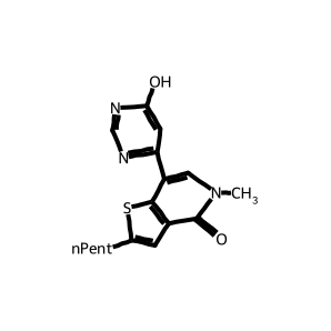 CCCCCc1cc2c(=O)n(C)cc(-c3cc(O)ncn3)c2s1